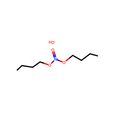 CCCCO[N+](=O)OCCCC.[OH-]